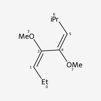 CC/C=C(OC)\C(=C/C(C)C)OC